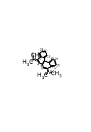 CN(C)c1cc2cc(N(C)C)c3ccccc3c2c2ccccc12